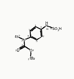 CCN(C(=O)OC(C)(C)C)c1ccc(NS(=O)(=O)O)cc1